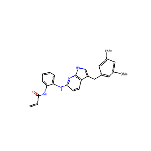 C=CC(=O)Nc1ccccc1Nc1ccc2c(Cc3cc(OC)cc(OC)c3)c[nH]c2n1